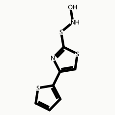 ONSc1nc(-c2cccs2)cs1